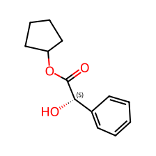 O=C(OC1CCCC1)[C@@H](O)c1ccccc1